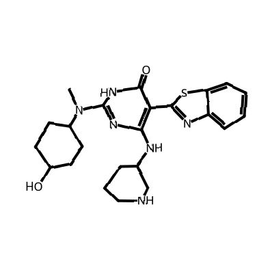 CN(c1nc(NC2CCCNC2)c(-c2nc3ccccc3s2)c(=O)[nH]1)C1CCC(O)CC1